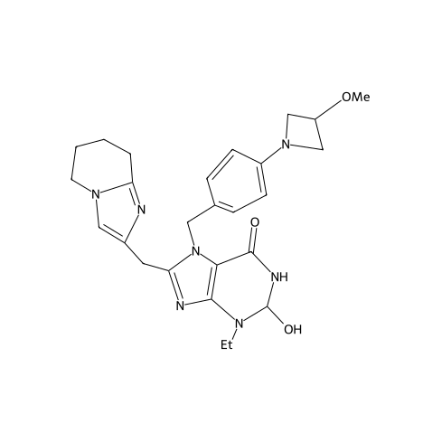 CCN1c2nc(Cc3cn4c(n3)CCCC4)n(Cc3ccc(N4CC(OC)C4)cc3)c2C(=O)NC1O